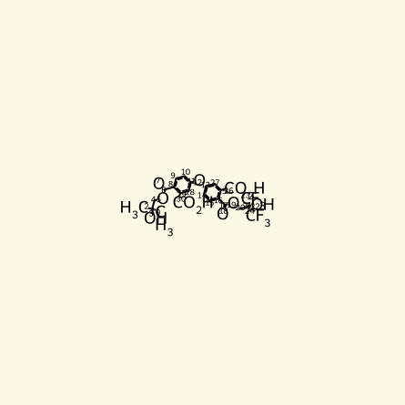 CC(C)(O)COC(=O)c1ccc(Oc2ccc(C(=O)OCC(O)(C(F)(F)F)C(F)(F)F)c(C(=O)O)c2)cc1C(=O)O